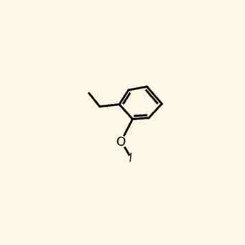 CCc1ccccc1OI